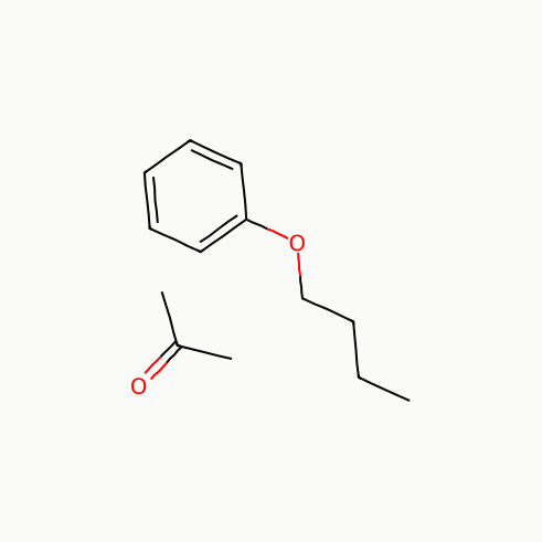 CC(C)=O.CCCCOc1ccccc1